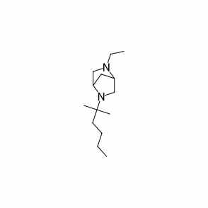 CCCCC(C)(C)N1CC2CC1CN2CC